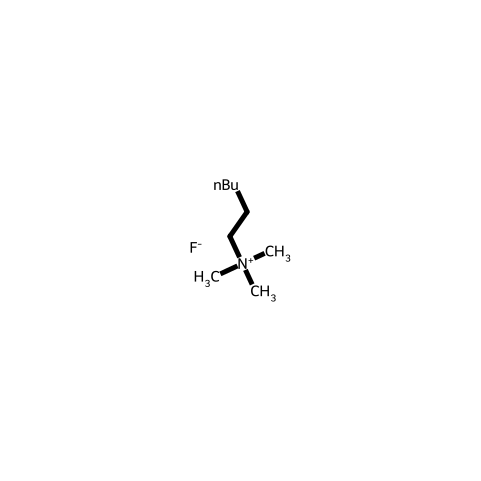 CCCCCC[N+](C)(C)C.[F-]